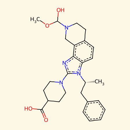 COC(O)N1CCc2ccc3c(nc(N4CCC(C(=O)O)CC4)n3[C@H](C)Cc3ccccc3)c2C1